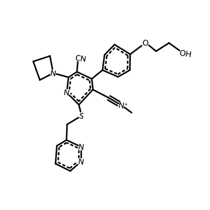 C[N+]#Cc1c(SCc2cccnn2)nc(N2CCC2)c(C#N)c1-c1ccc(OCCO)cc1